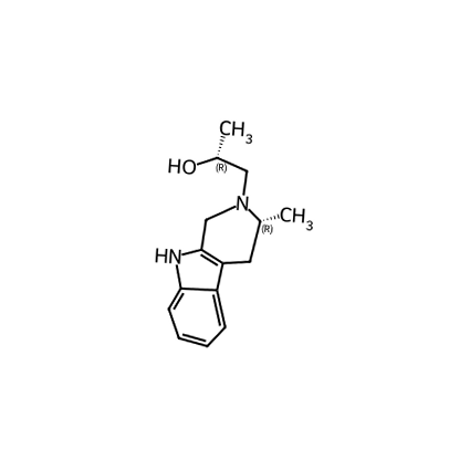 C[C@@H]1Cc2c([nH]c3ccccc23)CN1C[C@@H](C)O